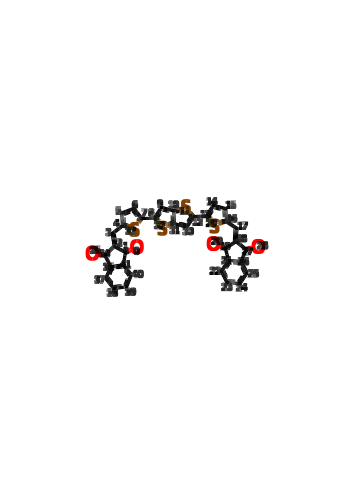 O=C1C(=Cc2ccc(-c3cc4sc(-c5ccc(C=C6C(=O)c7ccccc7C6=O)s5)cc4s3)s2)C(=O)c2ccccc21